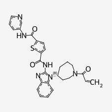 C=CC(=O)N1CCC[C@@H](n2c(NC(=O)c3ccc(C(=O)Nc4cccnc4)s3)nc3ccccc32)CC1